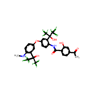 CNc1ccc(Oc2ccc(NC(=O)c3ccc(C(C)=O)cc3O)c(C(O)(C(F)(F)F)C(F)(F)F)c2)cc1C(O)(C(F)(F)F)C(F)(F)F